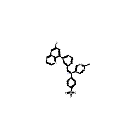 Cc1ccc(/C(=C\c2cccc(-c3cc(C(C)C)cc4cccnc34)c2)c2ccc(S(C)(=O)=O)cc2)cn1